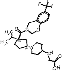 CC(C)[C@]1(C(=O)N2COc3ccc(C(F)(F)F)cc3C2)CC[C@@H](N2CCC(NCC(=O)O)CC2)C1